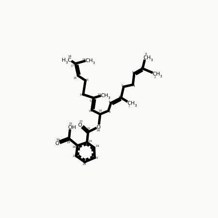 CC(C)=CCC/C(C)=C/CC(/C=C(\C)CCC=C(C)C)OC(=O)c1ccccc1C(=O)O